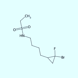 CCS(=O)(=O)NCCCCC1CC1(F)Br